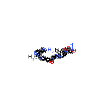 C[C@@H]1CN(Cc2ccc3c(c2)n(C)c(=O)n3C2CCC(=O)NC2=O)CCN1CC1CCN(C(=O)c2ccc(C3CCN(Cc4cc5c(-c6ccc(N)nc6)ccnc5n4C)CC3)cc2)CC1